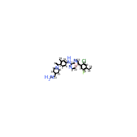 C=C(c1ccc(NC2=NC=CB3C(c4cc(F)c(CC)cc4Cl)=CN=C32)cc1C)N1CCC(CN)CC1